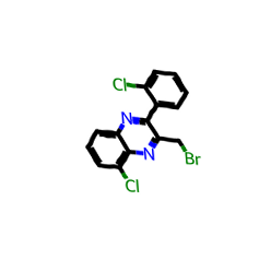 Clc1ccccc1-c1nc2cccc(Cl)c2nc1CBr